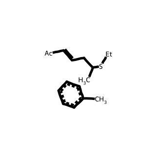 CCSC(C)CC=CC(C)=O.Cc1ccccc1